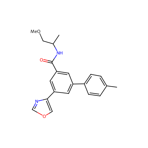 COCC(C)NC(=O)c1cc(-c2ccc(C)cc2)cc(-c2cocn2)c1